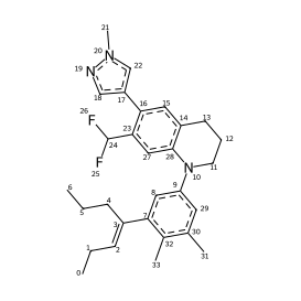 CC/C=C(\CCC)c1cc(N2CCCc3cc(-c4cnn(C)c4)c(C(F)F)cc32)cc(C)c1C